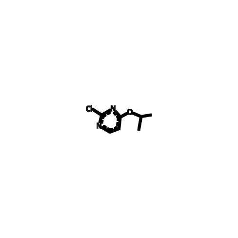 CC(C)Oc1ccnc(Cl)n1